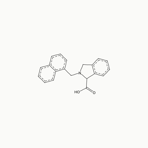 O=C(O)C1c2ccccc2CN1Cc1cccc2ccccc12